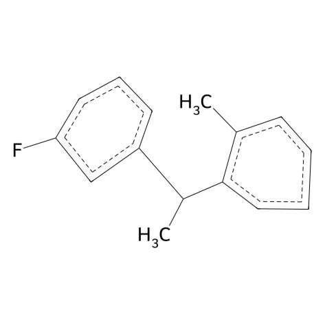 Cc1ccccc1C(C)c1cccc(F)c1